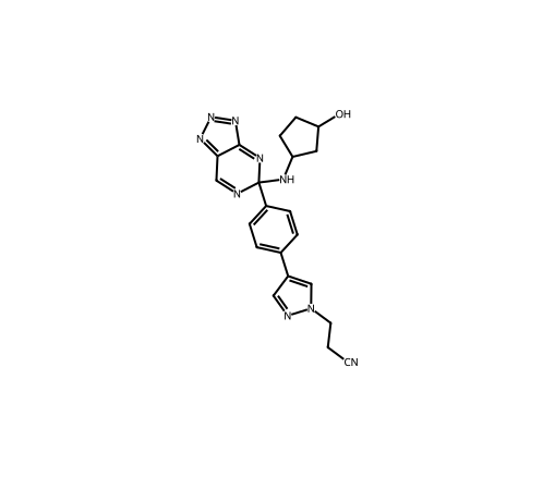 N#CCCn1cc(-c2ccc(C3(NC4CCC(O)C4)N=CC4=NN=NC4=N3)cc2)cn1